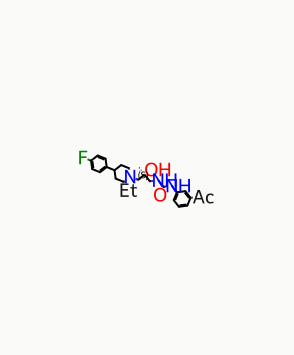 CCC1CC(c2ccc(F)cc2)CCN1C[C@@](C)(O)CNC(=O)Nc1cccc(C(C)=O)c1